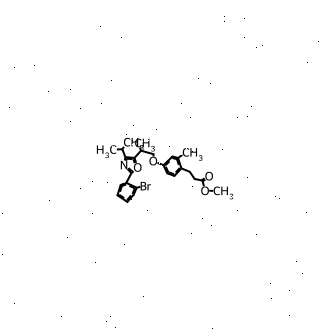 COC(=O)CCc1ccc(OCC(C)c2oc(-c3ccccc3Br)nc2C(C)C)cc1C